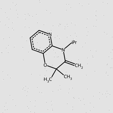 C=C1N(C(C)C)c2ncccc2OC1(C)C